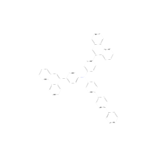 c1ccc(-c2ccc(-c3ccc(N(c4ccc(-c5cc6ccccc6c6ccccc56)cc4)c4ccc(-c5cc6ccccc6c6ccccc56)cc4)cc3)cc2)cc1